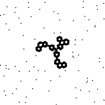 c1ccc2c(c1)ccc1ccc(-c3ccc(N(c4ccc(-c5ccc6ccc7ccccc7c6c5)cc4)c4ccc5c6ccccc6c6ccccc6c5c4)cc3)cc12